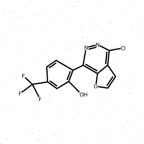 Oc1cc(C(F)(F)F)ccc1-c1nnc(Cl)c2ccoc12